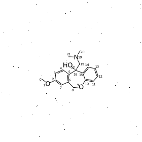 COc1ccc2c(c1)COc1ccccc1C2(O)CN(C)C